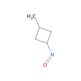 CC1CC(N=O)C1